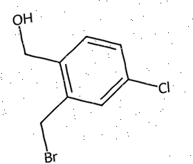 OCc1ccc(Cl)cc1CBr